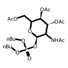 CCCCOP(=O)(OCCCC)O[C@H]1OC(COC(C)=O)[C@@H](OC(C)=O)[C@H](OC(C)=O)C1NC(C)=O